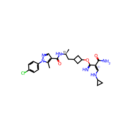 Cc1c(C(=O)N[C@@H](C)CC2CC(OC(=N)/C(=C\NC3CC3)C(N)=O)C2)cnn1-c1ccc(Cl)cc1